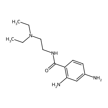 CCN(CC)CCNC(=O)c1ccc(N)cc1N